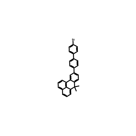 CC1(C)c2ccc(-c3ccc(-c4ccc(Br)cc4)cc3)cc2-c2cccc3cccc1c23